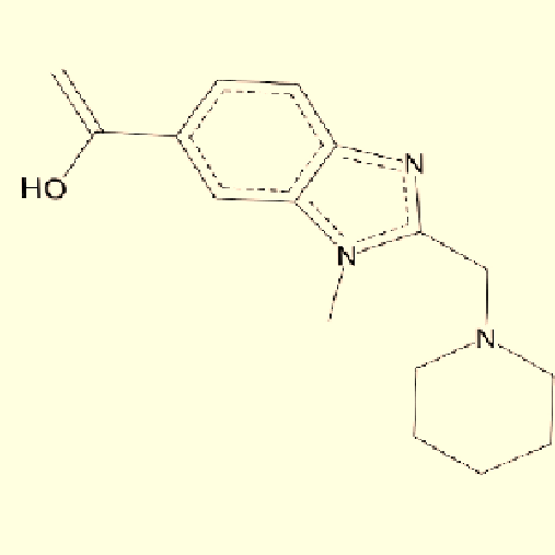 C=C(O)c1ccc2nc(CN3CCCCC3)n(C)c2c1